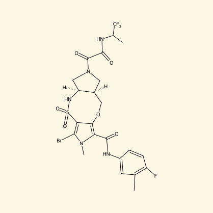 Cc1cc(NC(=O)c2c3c(c(Br)n2C)S(=O)(=O)N[C@H]2CN(C(=O)C(=O)NC(C)C(F)(F)F)C[C@H]2CO3)ccc1F